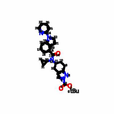 CC(C)(C)OC(=O)n1cc2c(n1)CCC(N(C(=O)c1cccc3c1ccn3-c1ccccn1)C1CC1)C2